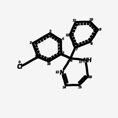 Clc1cccc(C2(c3ccccc3)N=CC=CN2)c1